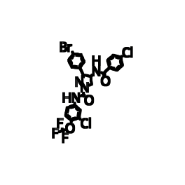 O=C(NC1CN(C(=O)Nc2ccc(OC(F)(F)F)c(Cl)c2)N=C1c1ccc(Br)cc1)c1ccc(Cl)cc1